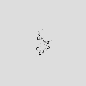 CSCC[C@H](N)C(=O)N1CCC[C@H]1C(=O)NCC(=O)N1C[C@H](O)C[C@H]1C(=O)N1CCC[C@H]1C(=O)NCC(=O)N1C[C@H](O)C[C@H]1C(=O)N1CCC[C@H]1C(=O)NCC(=O)O